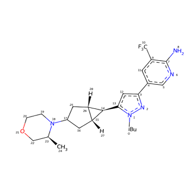 CCC(C)n1nc(-c2cnc(N)c(C(F)(F)F)c2)cc1[C@H]1[C@@H]2CC(N3CCOC[C@@H]3C)C[C@@H]21